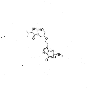 CC(C)[C@H](N)C(=O)OCC(CO)OCCn1cnc2c(=O)[nH]c(N)nc21